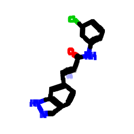 O=C(/C=C/c1ccc2cn[nH]c2c1)Nc1cccc(Cl)c1